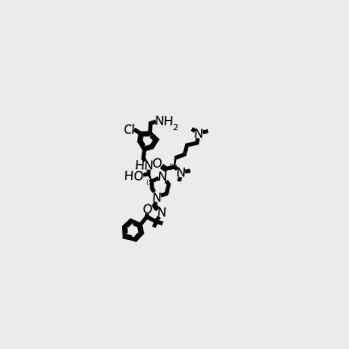 CN(C)CCCC[C@H](C(=O)N1CCN(C2=NC(C)(C)C(c3ccccc3)O2)C[C@H]1C(O)NCc1ccc(CN)c(Cl)c1)N(C)C